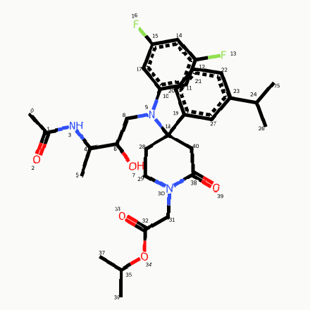 CC(=O)NC(C)C(O)CN(c1cc(F)cc(F)c1)C1(c2cccc(C(C)C)c2)CCN(CC(=O)OC(C)C)C(=O)C1